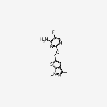 Cc1nn(C)c2sc(COc3ncc(F)c(N)n3)cc12